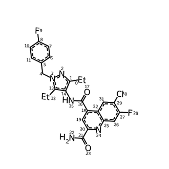 CCc1nn(Cc2ccc(F)cc2)c(CC)c1NC(=O)c1cc(C(N)=O)nc2cc(F)c(Cl)cc12